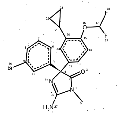 CN1C(=O)[C@@](c2cccc(Br)c2)(c2ccc(OC(F)F)c(C3CC3)c2)N=C1N